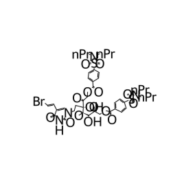 CCCN(CCC)S(=O)(=O)c1ccc(C(=O)OCC(=O)C(O)[C@H]2O[C@@H](n3cc(/C=C/Br)c(=O)[nH]c3=O)C[C@@]2(O)C(=O)COC(=O)c2ccc(S(=O)(=O)N(CCC)CCC)cc2)cc1